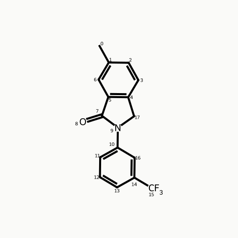 Cc1ccc2c(c1)C(=O)N(c1cccc(C(F)(F)F)c1)C2